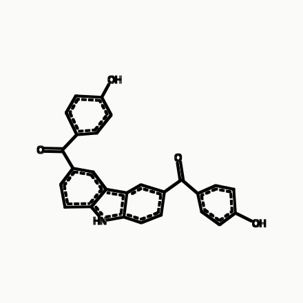 O=C(c1ccc(O)cc1)c1ccc2[nH]c3ccc(C(=O)c4ccc(O)cc4)cc3c2c1